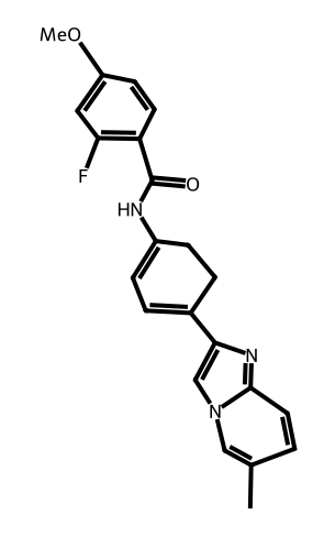 COc1ccc(C(=O)NC2=CC=C(c3cn4cc(C)ccc4n3)CC2)c(F)c1